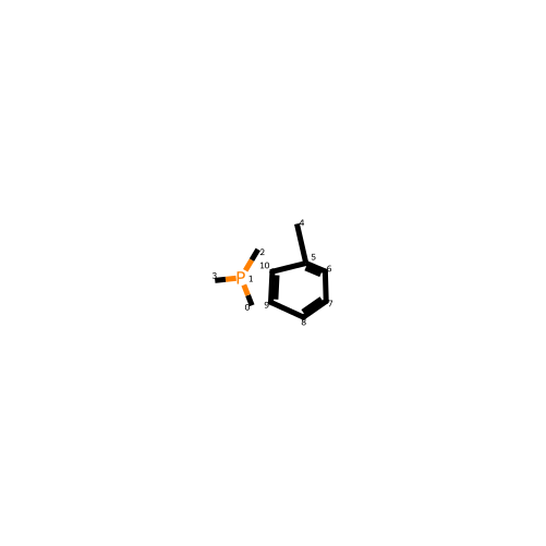 CP(C)C.Cc1ccccc1